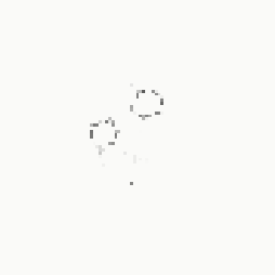 Cc1ccc(C(C)(C)C)c(O)c1.Cc1ccc(C(C)(C)C)c(O)c1.O=S